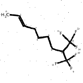 [CH2]C=CCCCCC(C(F)(F)F)C(F)(F)F